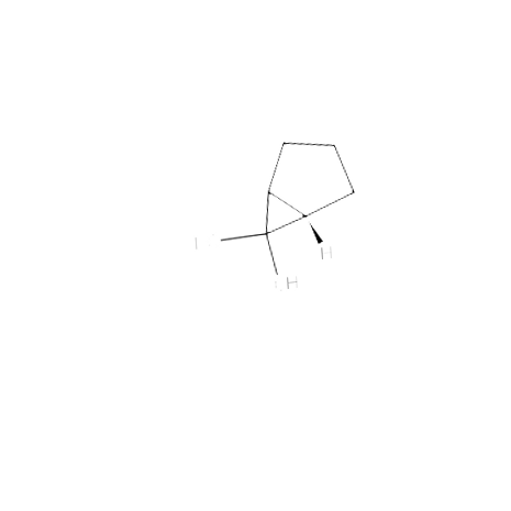 CC1(C)[C]2CCC[C@@H]21